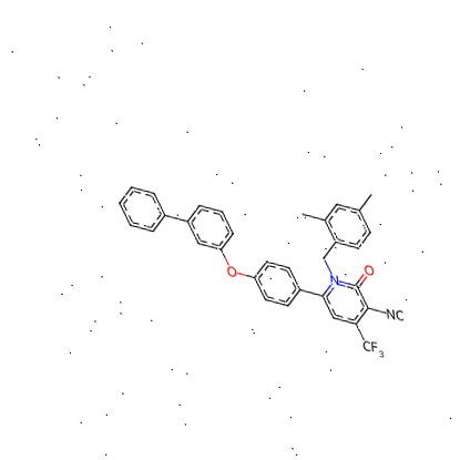 [C-]#[N+]c1c(C(F)(F)F)cc(-c2ccc(Oc3cccc(-c4ccccc4)c3)cc2)n(Cc2ccc(C)cc2C)c1=O